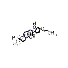 CCCOc1ccc(/C2=C/C=C(\C)C/C=C3/OC(C)(CC)C=C/C3=C(/C)OC2)c(O)c1